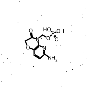 Nc1ccc2c(n1)N(COP(=O)(O)O)C(=O)CO2